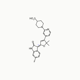 CC1(C)O/C(=C2/C(=O)Nc3cc(F)ccc32)C=C1c1ccnc(N2CCC(S(=O)(=O)O)CC2)c1